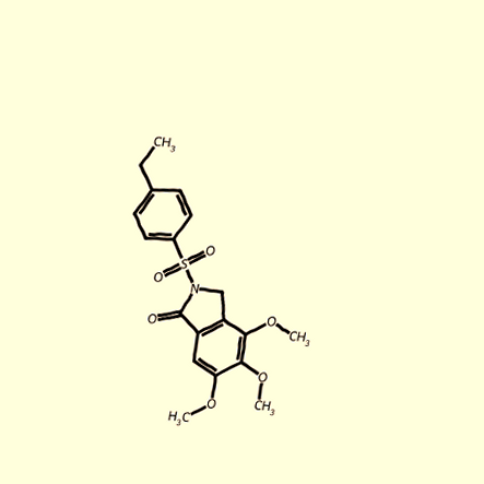 CCc1ccc(S(=O)(=O)N2Cc3c(cc(OC)c(OC)c3OC)C2=O)cc1